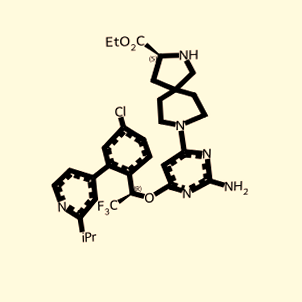 CCOC(=O)[C@@H]1CC2(CCN(c3cc(O[C@H](c4ccc(Cl)cc4-c4ccnc(C(C)C)c4)C(F)(F)F)nc(N)n3)CC2)CN1